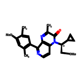 COC[C@H](C1CC1)n1c(=O)c(C)nc2c(-c3cc(C)c(OC)cc3C)nccc21